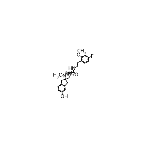 COc1cc(F)ccc1CCNC(=O)NCC1(N(C)C)Cc2ccc(O)cc2C1